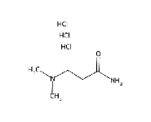 CN(C)CCC(N)=O.Cl.Cl.Cl